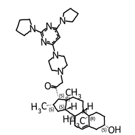 C[C@H]1C[C@H]2[C@@H]3CC=C4C[C@@H](O)CC[C@]4(C)[C@H]3CC[C@]2(C)[C@H]1C(=O)CN1CCN(c2cc(N3CCCC3)nc(N3CCCC3)n2)CC1